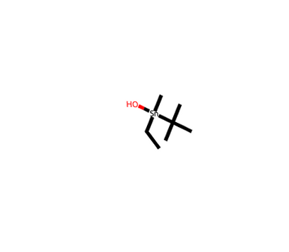 C[CH2][Sn]([CH3])([OH])[C](C)(C)C